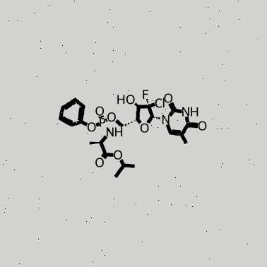 Cc1cn([C@@H]2O[C@H](CO[P@@](=O)(N[C@H](C)C(=O)OC(C)C)Oc3ccccc3)[C@@H](O)[C@@]2(F)Cl)c(=O)[nH]c1=O